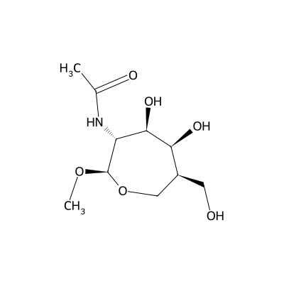 CO[C@@H]1OC[C@H](CO)[C@H](O)[C@H](O)[C@H]1NC(C)=O